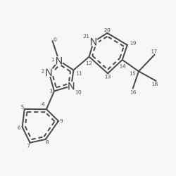 Cn1nc(-c2ccccc2)nc1-c1cc(C(C)(C)C)ccn1